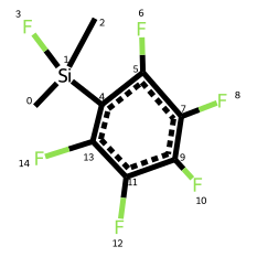 C[Si](C)(F)c1c(F)c(F)c(F)c(F)c1F